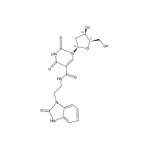 O=C(NCCn1c(=O)[nH]c2ccccc21)c1cn([C@H]2C[C@@H](O)[C@@H](CO)O2)c(=O)[nH]c1=O